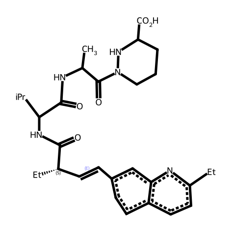 CCc1ccc2ccc(/C=C/[C@H](CC)C(=O)NC(C(=O)NC(C)C(=O)N3CCCC(C(=O)O)N3)C(C)C)cc2n1